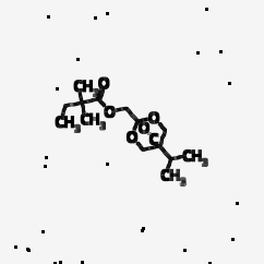 CCC(C)(C)C(=O)OCC12OCC(C(C)C)(CO1)CO2